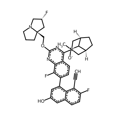 C#Cc1c(F)ccc2cc(O)cc(-c3ccc4c(N5C[C@H]6CC[C@@H](C5)C6[S+](C)[O-])nc(OC[C@@]56CCCN5C[C@H](F)C6)nc4c3F)c12